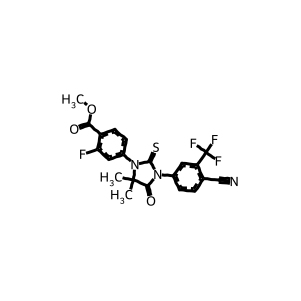 COC(=O)c1ccc(N2C(=S)N(c3ccc(C#N)c(C(F)(F)F)c3)C(=O)C2(C)C)cc1F